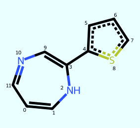 C1=CNC(c2cccs2)=CN=C1